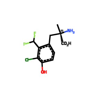 C[C@](N)(Cc1ccc(O)c(Cl)c1C(F)F)C(=O)O